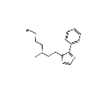 CC(C)CCCC(C)CCn1ccnc1-c1ccccc1